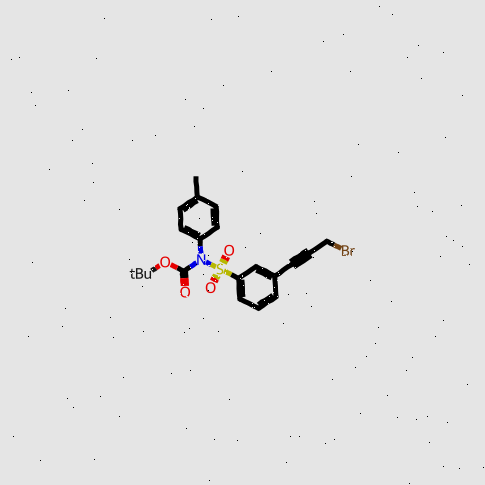 Cc1ccc(N(C(=O)OC(C)(C)C)S(=O)(=O)c2cccc(C#CCBr)c2)cc1